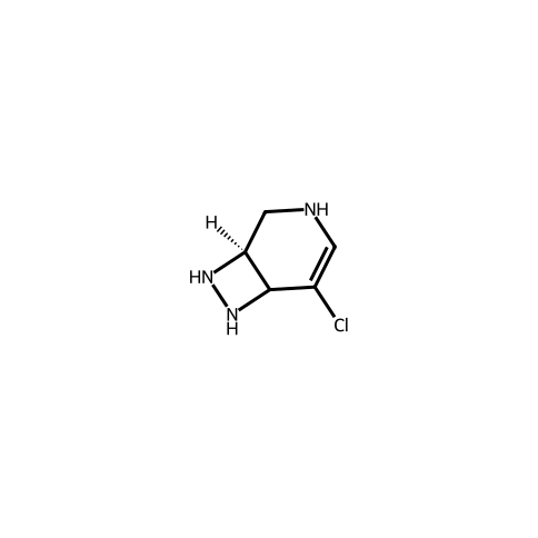 ClC1=CNC[C@@H]2NNC12